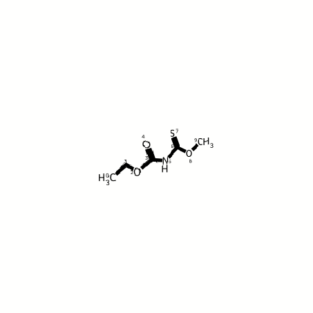 CCOC(=O)NC(=S)OC